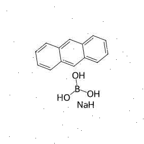 OB(O)O.[NaH].c1ccc2cc3ccccc3cc2c1